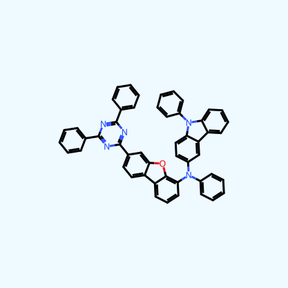 c1ccc(-c2nc(-c3ccccc3)nc(-c3ccc4c(c3)oc3c(N(c5ccccc5)c5ccc6c(c5)c5ccccc5n6-c5ccccc5)cccc34)n2)cc1